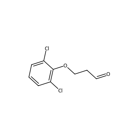 O=CCCOc1c(Cl)cccc1Cl